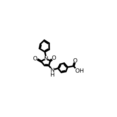 O=C(O)c1ccc(NC2=CC(=O)N(c3ccccc3)C2=O)cc1